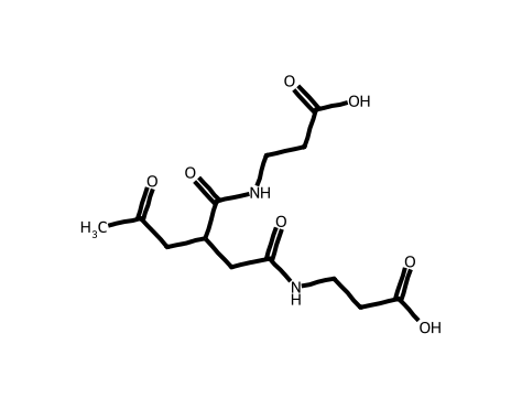 CC(=O)CC(CC(=O)NCCC(=O)O)C(=O)NCCC(=O)O